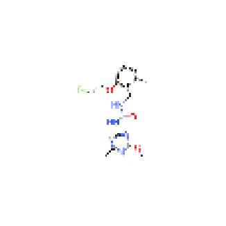 COc1nc(C)nc(NC(=O)NCc2c(C)cccc2OCCF)n1